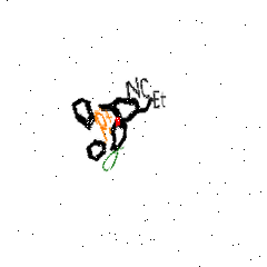 CCC(C#N)Cc1ccc(C[P+](c2ccccc2)(c2ccccc2)c2ccccc2)cc1.[Cl-]